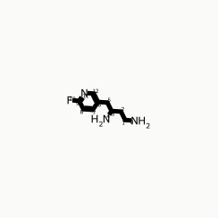 NCCC(N)Cc1ccc(F)nc1